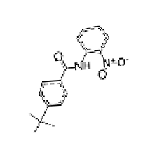 CC(C)(C)c1ccc(C(=O)Nc2ccccc2[N+](=O)[O-])cc1